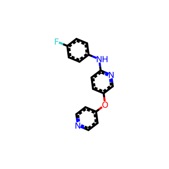 Fc1ccc(Nc2ccc(Oc3ccncc3)cn2)cc1